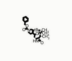 C[C@@H](O[Si](C)(C)C(C)(C)C)[C@H]1C(=O)N[C@@H]1CC(=O)C1=CCN(C(=O)OCc2ccccc2)CC1